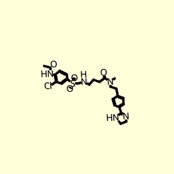 CC(=O)Nc1ccc(S(=O)(=O)CNCCCC(=O)N(C)CCc2ccc(C3=NCCN3)cc2)cc1Cl